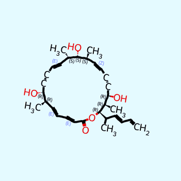 C=CC=CC(C)[C@H]1OC(=O)/C=C/C=C/[C@@H](C)[C@H](O)CC/C=C/[C@H](C)[C@H](O)[C@@H](C)/C=C\CC[C@@H](O)[C@H]1C